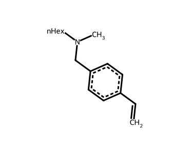 C=Cc1ccc(CN(C)CCCCCC)cc1